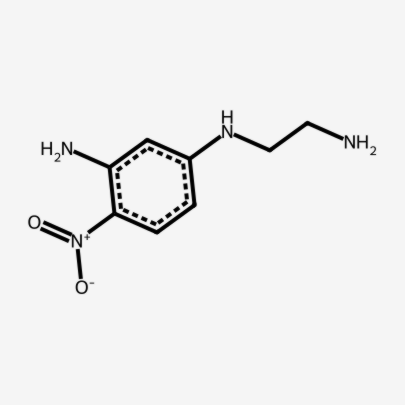 NCCNc1ccc([N+](=O)[O-])c(N)c1